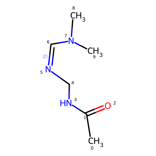 CC(=O)NC/N=C\N(C)C